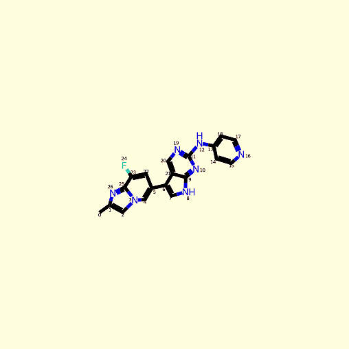 Cc1cn2cc(-c3c[nH]c4nc(Nc5ccncc5)ncc34)cc(F)c2n1